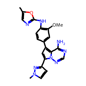 COc1cc(-c2cc(-c3ccn(C)n3)n3ncnc(N)c23)ccc1Nc1ncc(C)o1